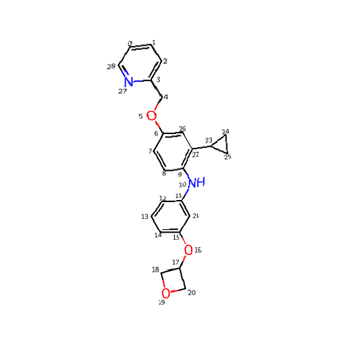 c1ccc(COc2ccc(Nc3cccc(OC4COC4)c3)c(C3CC3)c2)nc1